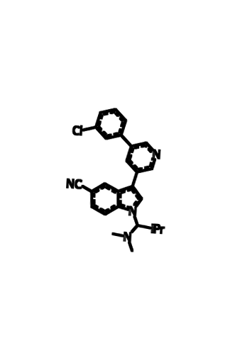 CC(C)C(N(C)C)n1cc(-c2cncc(-c3cccc(Cl)c3)c2)c2cc(C#N)ccc21